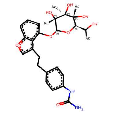 CC(=O)C(O)[C@H]1O[C@@H](Oc2cccc3occ(CCc4ccc(NC(N)=O)cc4)c23)[C@@](O)(C(C)=O)[C@](O)(C(C)=O)[C@@]1(O)C(C)=O